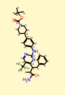 CC(C(N)=O)C(Cc1ccccc1)c1nc(Nc2ccc(C3CCN(C(=O)OC(C)(C)C)CC3)cc2)ncc1C(F)(F)F